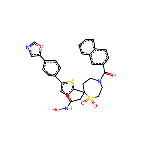 O=C(CC1(c2ccc(-c3ccc(-c4cnco4)cc3)s2)CCN(C(=O)c2ccc3ccccc3c2)CCS1(=O)=O)NO